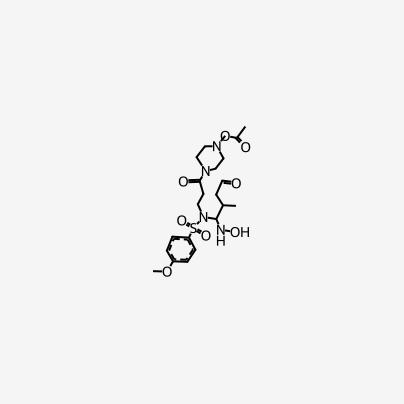 COc1ccc(S(=O)(=O)N(CCC(=O)N2CCN(OC(C)=O)CC2)C(NO)C(C)CC=O)cc1